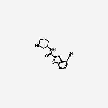 N#Cc1cccc2sc(C(=O)N[C@@H]3CCCNC3)cc12